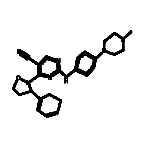 CN1CCN(c2ccc(Nc3ncc(C#N)c(N4OCCC4C4=CC=CCC4)n3)cc2)CC1